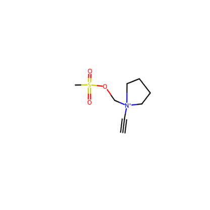 C#C[N+]1(COS(C)(=O)=O)CCCC1